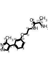 Cc1n[nH]cc1-c1c[c]cc(OCCNC(=O)[C@H](C)N)c1